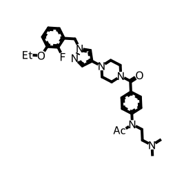 CCOc1cccc(Cn2cc(N3CCN(C(=O)c4ccc(N(CCN(C)C)C(C)=O)cc4)CC3)cn2)c1F